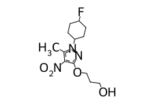 Cc1c([N+](=O)[O-])c(OCCCO)nn1C1CCC(F)CC1